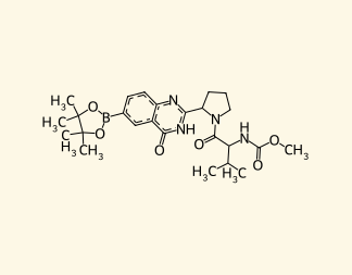 COC(=O)NC(C(=O)N1CCCC1c1nc2ccc(B3OC(C)(C)C(C)(C)O3)cc2c(=O)[nH]1)C(C)C